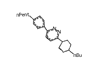 CCCCCc1ccc(-c2ccc(C3CCC(CCCC)CC3)nn2)cc1